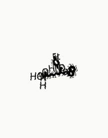 CCN1CCC(NC(=O)C(=CCCCCC(=O)NO)COc2cccc3ccccc23)CC1